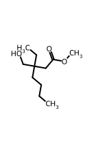 CCCCC(CC)(CO)CC(=O)OC